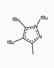 Cc1nn(C(C)(C)C)c(C(C)(C)C)c1C(C)(C)C